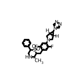 C[C@@H]1NCC(c2ccccc2)S(=O)(=O)C1Cc1cc(F)c(N2C[C@@H]3C(n4cnnc4)[C@@H]3C2)cc1F